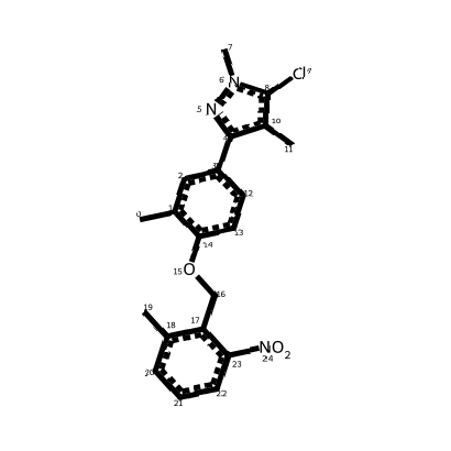 Cc1cc(-c2nn(C)c(Cl)c2C)ccc1OCc1c(C)cccc1[N+](=O)[O-]